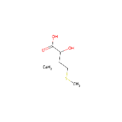 CSCCC(O)C(=O)O.[CaH2]